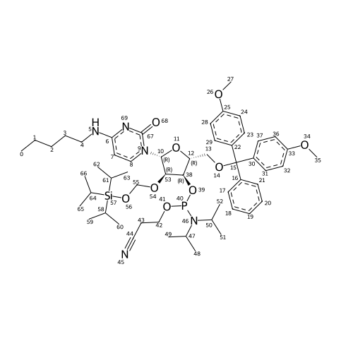 CCCCCNc1ccn([C@@H]2O[C@H](COC(c3ccccc3)(c3ccc(OC)cc3)c3ccc(OC)cc3)[C@@H](OP(OCCC#N)N(C(C)C)C(C)C)[C@H]2OCO[Si](C(C)C)(C(C)C)C(C)C)c(=O)n1